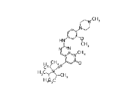 COc1cc(Nc2ncc3c(C#C[Si](C(C)C)(C(C)C)C(C)C)cc(=O)n(C)c3n2)ccc1N1CCN(C)CC1